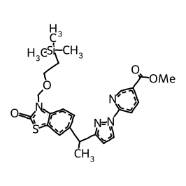 COC(=O)c1ccc(-n2ccc(C(C)c3ccc4c(c3)sc(=O)n4COCC[Si](C)(C)C)n2)nc1